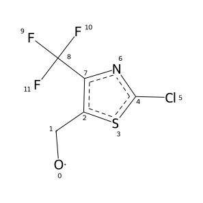 [O]Cc1sc(Cl)nc1C(F)(F)F